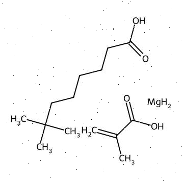 C=C(C)C(=O)O.CC(C)(C)CCCCCC(=O)O.[MgH2]